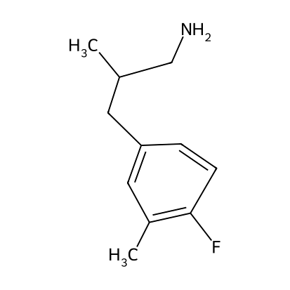 Cc1cc(CC(C)CN)ccc1F